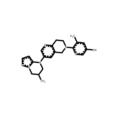 Cc1cc(C#N)cnc1N1CCc2ncc(N3CC(C)Cn4nccc43)cc2C1